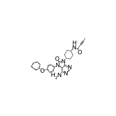 CC#CC(=O)N[C@H]1CC[C@H](n2c(=O)n(-c3ccc(Oc4ccccc4)cc3)c3c(N)ncnc32)CC1